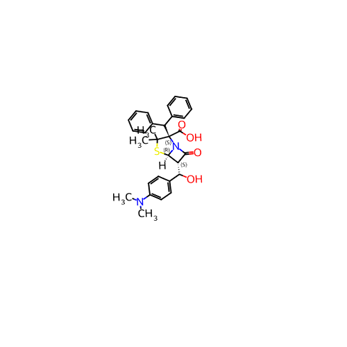 CN(C)c1ccc(C(O)[C@H]2C(=O)N3[C@@H]2SC(C)(C)[C@@]3(C(=O)O)C(c2ccccc2)c2ccccc2)cc1